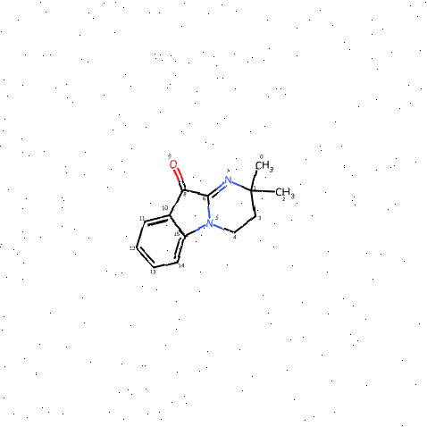 CC1(C)CCN2C(=N1)C(=O)c1ccccc12